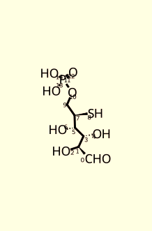 O=C[C@@H](O)[C@@H](O)[C@H](O)[C@H](S)COP(=O)(O)O